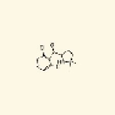 CC1(C)CCC(C(O)c2c(Cl)cccc2Cl)N1